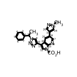 CC(c1ccccc1)n1cc(-c2cn(C(=O)O)c3ncc(-c4cnn(C)c4)cc23)nn1